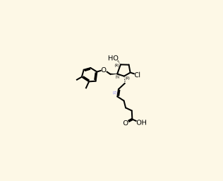 Cc1ccc(OC[C@H]2[C@H](O)CC(Cl)[C@@H]2C/C=C\CCCC(=O)O)cc1C